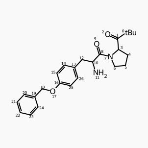 CC(C)(C)C(=O)C1CCCN1C(=O)C(N)Cc1ccc(OCc2ccccc2)cc1